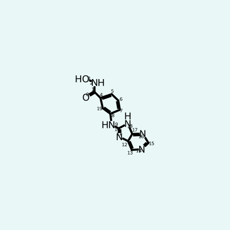 O=C(NO)c1cccc(Nc2nc3cncnc3[nH]2)c1